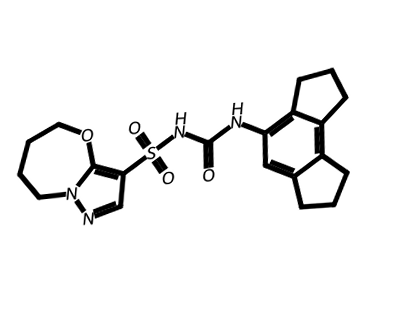 O=C(Nc1cc2c(c3c1CCC3)CCC2)NS(=O)(=O)c1cnn2c1OCCCC2